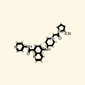 N#C[C@@H]1CCCN1C(=O)CN1CCC(Nc2ccc(C(=O)Nc3ccncc3)c3ncccc23)CC1